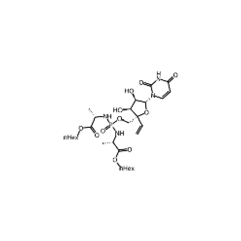 C=C[C@]1(COP(=O)(N[C@@H](C)C(=O)OCCCCCC)N[C@@H](C)C(=O)OCCCCCC)O[C@@H](n2ccc(=O)[nH]c2=O)[C@H](O)[C@@H]1O